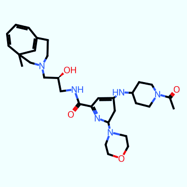 CC(=O)N1CCC(NC2=CC(C(=O)NC[C@H](O)CN3CCC4=CC(C)(C=CC=C4)C3)=NC(N3CCOCC3)C2)CC1